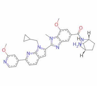 COc1cc(-c2ccc3cc(-c4nc5cc(C(=O)N6C[C@H]7CC[C@@H]6[C@@H]7N)cc(OC)c5n4C)n(CC4CC4)c3n2)ccn1